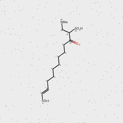 CCCCCCCCC=CCCCCCCCC(=O)C(CNC)S(=O)(=O)O